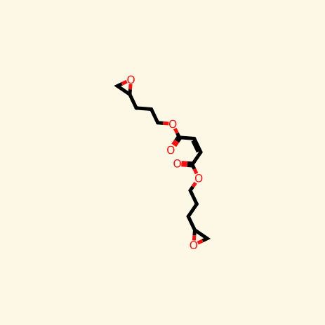 O=C(/C=C\C(=O)OCCCC1CO1)OCCCC1CO1